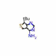 CC(C)(C)c1scc2c(N)ncnc12